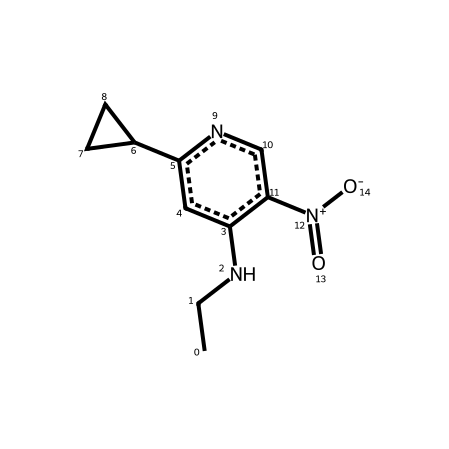 CCNc1cc(C2CC2)ncc1[N+](=O)[O-]